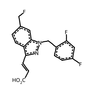 O=C(O)C=Cc1nn(Cc2ccc(F)cc2F)c2cc(CF)ccc12